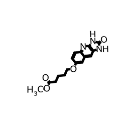 COC(=O)CCCCOc1ccc2nc3[nH]c(=O)[nH]c3cc2c1